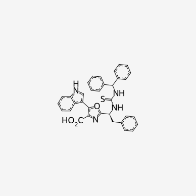 O=C(O)c1nc([C@H](Cc2ccccc2)NC(=S)NC(c2ccccc2)c2ccccc2)oc1-c1c[nH]c2ccccc12